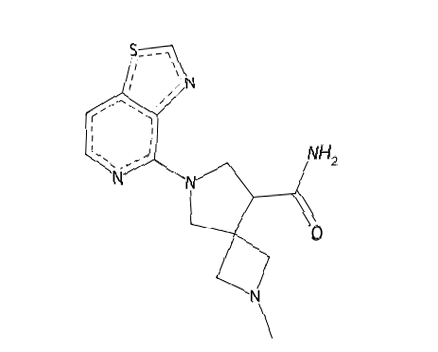 CN1CC2(C1)CN(c1nccc3scnc13)CC2C(N)=O